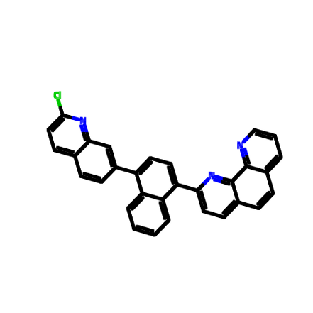 Clc1ccc2ccc(-c3ccc(-c4ccc5ccc6cccnc6c5n4)c4ccccc34)cc2n1